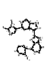 Cc1ncc(-c2cc3c(-c4nc5c(-c6ccccc6F)nccc5[nH]4)n[nH]c3cn2)n1C